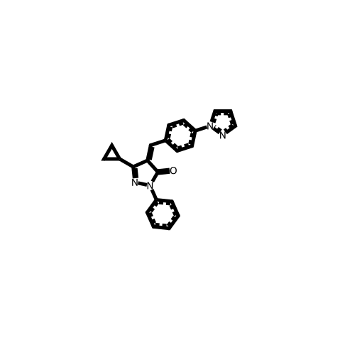 O=C1/C(=C\c2ccc(-n3cccn3)cc2)C(C2CC2)=NN1c1ccccc1